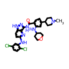 CN1CCC(c2ccc(C(=O)Nc3n[nH]c4ccc(Nc5cc(Cl)ccc5Cl)nc34)c(NC3CCOCC3)c2)CC1